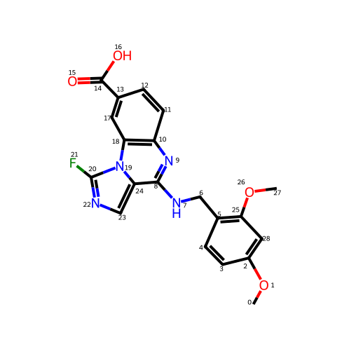 COc1ccc(CNc2nc3ccc(C(=O)O)cc3n3c(F)ncc23)c(OC)c1